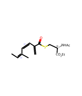 C=C(/C=C\C(C)=C/C)C(=O)SC[C@H](NC(C)=O)C(=O)OCC